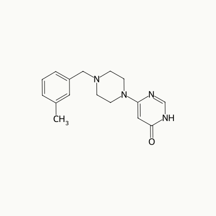 Cc1cccc(CN2CCN(c3cc(=O)[nH]cn3)CC2)c1